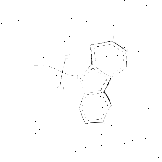 CCC(C)(CC)n1c2ccccc2c2ccccc21